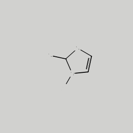 CN1C=CNC1N